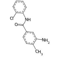 Cc1ccc(C(=O)Nc2ccccc2Cl)cc1N